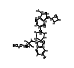 CC(C)(C[C@@H]1c2ccc(F)cc2OC12CCN(c1cnc3c(I)nn(C4CCO4)c3n1)CC2)NC(=O)O